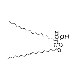 CCCCCCCCC=CCCCCCCCC(=O)OC(=O)C(O)(CO)CCCCCCCCCCCCCCCCCC